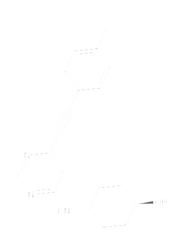 O[C@H]1CC[C@H](Nc2cc(C#Cc3ccc(Cl)cc3)ncn2)CC1